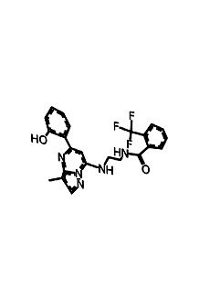 Cc1cnn2c(NCCNC(=O)c3ccccc3C(F)(F)F)cc(-c3ccccc3O)nc12